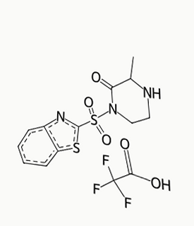 CC1NCCN(S(=O)(=O)c2nc3ccccc3s2)C1=O.O=C(O)C(F)(F)F